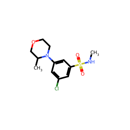 CNS(=O)(=O)c1cc(Cl)cc(N2CCOCC2C)c1